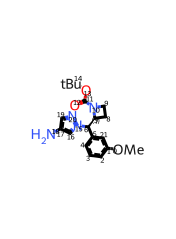 COc1cccc(C([C@@H]2CCN2C(=O)OC(C)(C)C)n2cc(N)cn2)c1